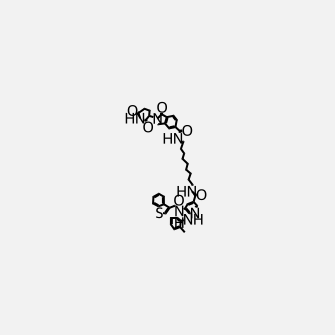 Cc1ccccc1Nc1ncc(C(=O)NCCCCCCCCCNC(=O)c2ccc3c(c2)CN(C2CCC(=O)NC2=O)C3=O)cc1NC(=O)c1csc2ccccc12